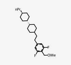 CCC[C@H]1CC[C@H](C2CCC(CCc3cc(F)c(COC)c(F)c3)CC2)CC1